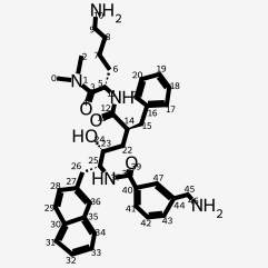 CN(C)C(=O)[C@H](CCCCN)NC(=O)[C@@H](Cc1ccccc1)C[C@@H](O)[C@@H](Cc1ccc2ccccc2c1)NC(=O)c1cccc(CN)c1